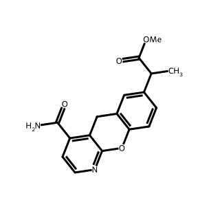 COC(=O)C(C)c1ccc2c(c1)Cc1c(C(N)=O)ccnc1O2